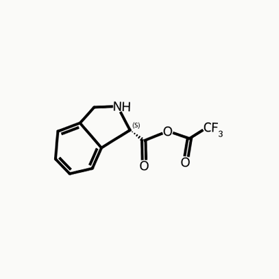 O=C(OC(=O)C(F)(F)F)[C@H]1NCc2ccccc21